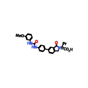 COc1cccc(NC(=O)Nc2ccc(-c3ccc4c(c3)C(=O)N([C@H](C(=O)O)C(C)C)C4)cc2)c1